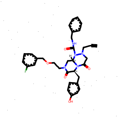 C#CCN1CC(=O)N2[C@@H](Cc3ccc(O)cc3)C(=O)N(CCOCc3cccc(F)c3)C[C@@H]2N1C(=O)NCc1ccccc1